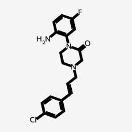 Nc1ccc(F)cc1N1CCN(CC=Cc2ccc(Cl)cc2)CC1=O